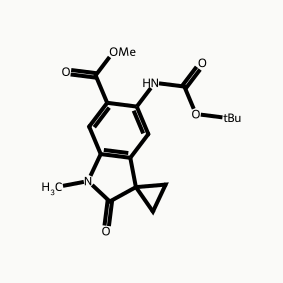 COC(=O)c1cc2c(cc1NC(=O)OC(C)(C)C)C1(CC1)C(=O)N2C